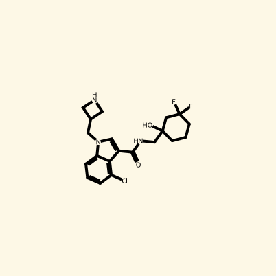 O=C(NCC1(O)CCCC(F)(F)C1)c1cn(CC2CNC2)c2cccc(Cl)c12